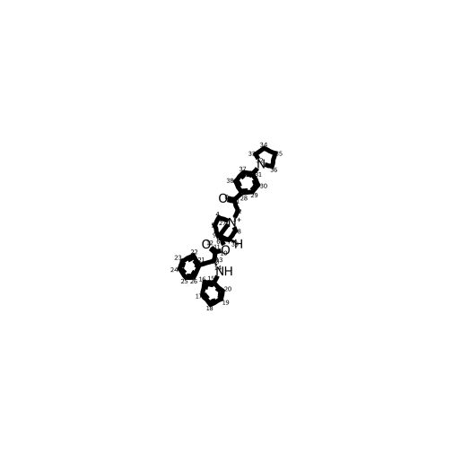 O=C(C[N+]12CCC(CC1)[C@@H](OC(=O)[C@H](Nc1ccccc1)c1ccccc1)C2)c1ccc(N2CCCC2)cc1